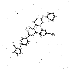 Cc1ccc(C(OC(=O)c2ccc(-c3cssc3=S)cc2)C(C)N2CCC(Cc3ccccc3)CC2)cc1